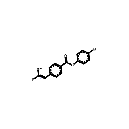 CCC/C(F)=C\c1ccc(C(=O)Oc2ccc(CC)cc2)cc1